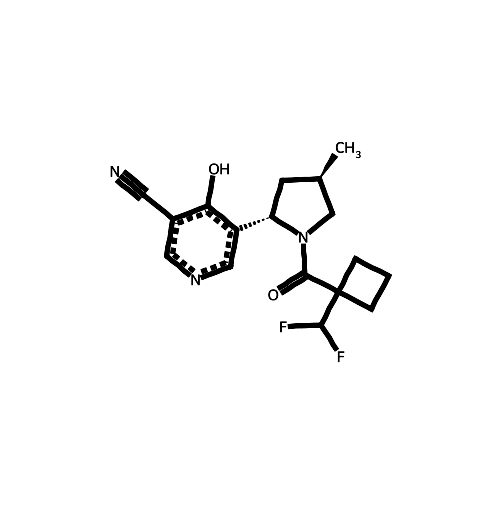 C[C@@H]1C[C@@H](c2cncc(C#N)c2O)N(C(=O)C2(C(F)F)CCC2)C1